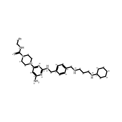 CC(C)CNC(=S)N1CCN(c2cc(N)nc(NCc3ccc(CNCCCNC4CCCCC4)cc3)n2)CC1